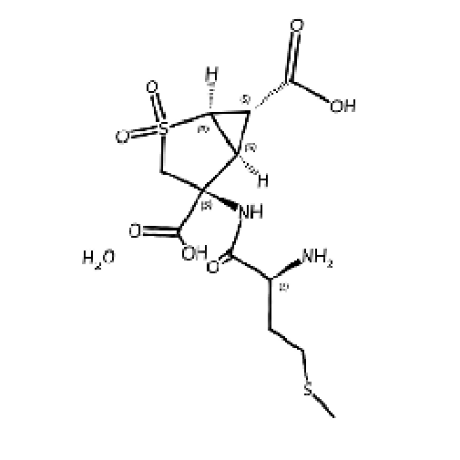 CSCC[C@H](N)C(=O)N[C@@]1(C(=O)O)CS(=O)(=O)[C@H]2[C@H](C(=O)O)[C@H]21.O